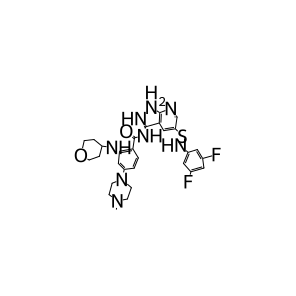 CN1CCN(c2ccc(C(=O)NC(=N)c3cc(SNc4cc(F)cc(F)c4)cnc3N)c(NC3CCOCC3)c2)CC1